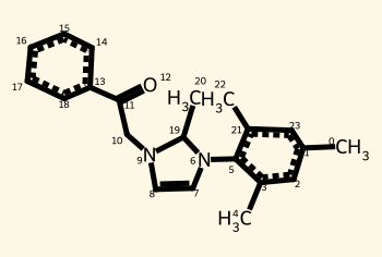 Cc1cc(C)c(N2C=CN(CC(=O)c3ccccc3)C2C)c(C)c1